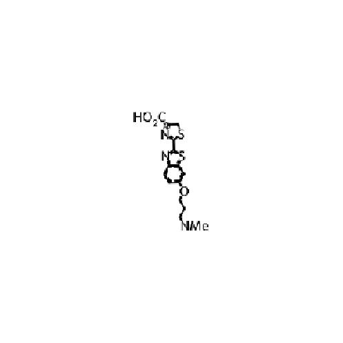 CNCCCOc1ccc2nc(C3=N[C@@H](C(=O)O)CS3)sc2c1